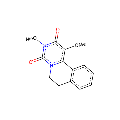 COc1c2n(c(=O)n(OC)c1=O)CCc1ccccc1-2